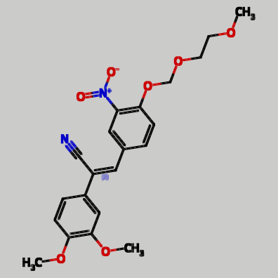 COCCOCOc1ccc(/C=C(\C#N)c2ccc(OC)c(OC)c2)cc1[N+](=O)[O-]